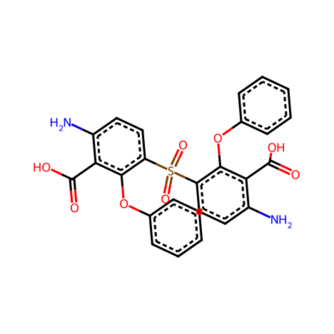 Nc1ccc(S(=O)(=O)c2ccc(N)c(C(=O)O)c2Oc2ccccc2)c(Oc2ccccc2)c1C(=O)O